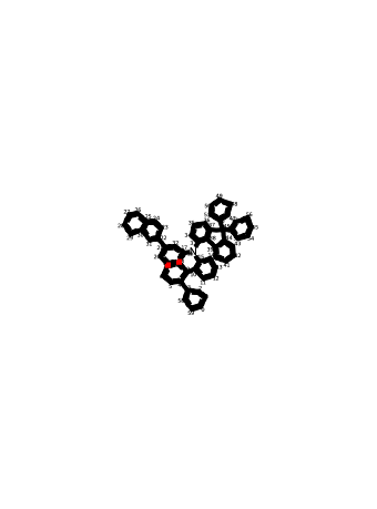 c1ccc(-c2ccccc2-c2ccccc2N(c2cccc(-c3ccc4ccccc4c3)c2)c2cccc3c2-c2ccccc2C3(c2ccccc2)c2ccccc2)cc1